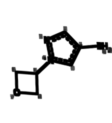 Bc1cnn(C2COC2)c1